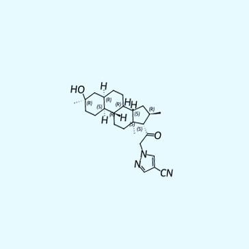 C[C@@H]1C[C@H]2[C@@H]3CC[C@@H]4C[C@](C)(O)CC[C@@H]4[C@H]3CC[C@]2(C)[C@H]1C(=O)Cn1cc(C#N)cn1